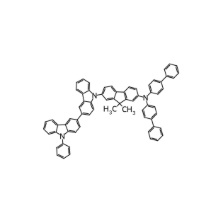 CC1(C)c2cc(N(c3ccc(-c4ccccc4)cc3)c3ccc(-c4ccccc4)cc3)ccc2-c2ccc(-n3c4ccccc4c4cc(-c5ccc6c(c5)c5ccccc5n6-c5ccccc5)ccc43)cc21